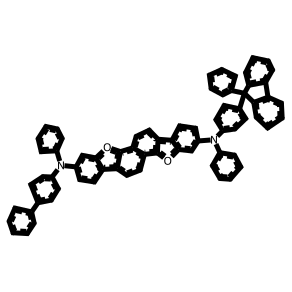 c1ccc(-c2ccc(N(c3ccccc3)c3ccc4c(c3)oc3c4ccc4c3ccc3c5ccc(N(c6ccccc6)c6ccc(C7(c8ccccc8)c8ccccc8-c8ccccc87)cc6)cc5oc34)cc2)cc1